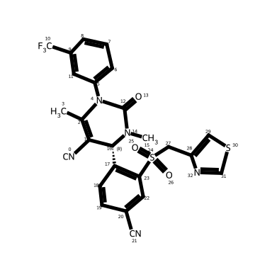 [C-]#[N+]C1=C(C)N(c2cccc(C(F)(F)F)c2)C(=O)N(C)[C@@H]1c1ccc(C#N)cc1S(=O)(=O)Cc1cscn1